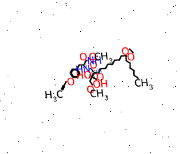 CC#CCOc1ccc(C[C@H](NC(=O)[C@@H](/C=C/CCCCCCC2(CCCCCCC)OCCO2)[C@@](O)(CCOC)C(=O)O)C(=O)NOC)cc1